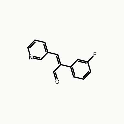 O=CC(=Cc1cccnc1)c1cccc(F)c1